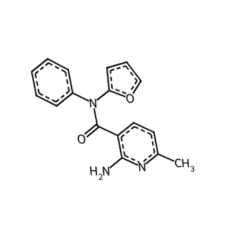 Cc1ccc(C(=O)N(c2ccccc2)c2ccco2)c(N)n1